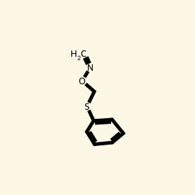 C=NOCSc1ccccc1